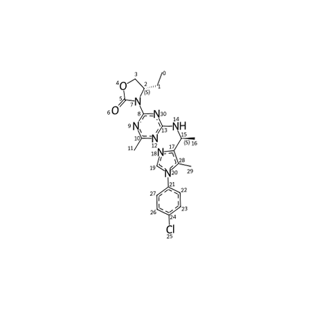 CC[C@H]1COC(=O)N1c1nc(C)nc(N[C@@H](C)c2ncn(-c3ccc(Cl)cc3)c2C)n1